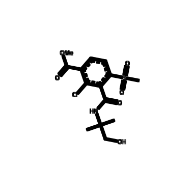 COC(=O)c1ccc(S(C)(=O)=O)c(C(=O)NC(C)(C)CO)c1Cl